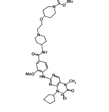 CC[C@@H]1C(=O)N(C)c2cnc(Nc3ccc(C(=O)NC4CCN(CCOC5CCN(C(=O)OC(C)(C)C)CC5)CC4)cc3OC)nc2N1C1CCCC1